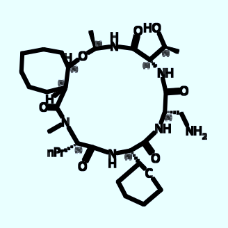 CCC[C@H]1C(=O)N[C@@H](C2CCCCC2)C(=O)N[C@@H](CN)C(=O)N[C@@H]([C@H](C)O)C(=O)N[C@H](C)O[C@@H]2CCCCCC[C@H]2C(=O)N1C